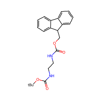 CC(C)(C)OC(=O)NCCNC(=O)OCC1c2ccccc2-c2ccccc21